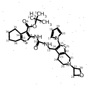 CC(C)(C)OC(=O)c1c(NC(=O)NCc2c(-n3cccc3)sc3c2CCN(C2COC2)C3)sc2c1CCCC2